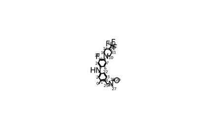 Cc1cc(Nc2ccc(N3CCC(C(F)(F)F)CC3)c(F)c2)ccc1CN(C)C=O